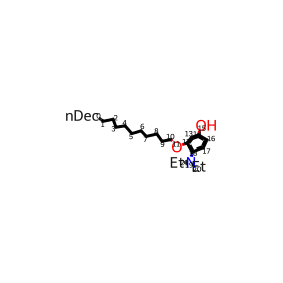 CCCCCCCCCCCCCCCCCCCCOc1cc(O)ccc1N(CC)CC